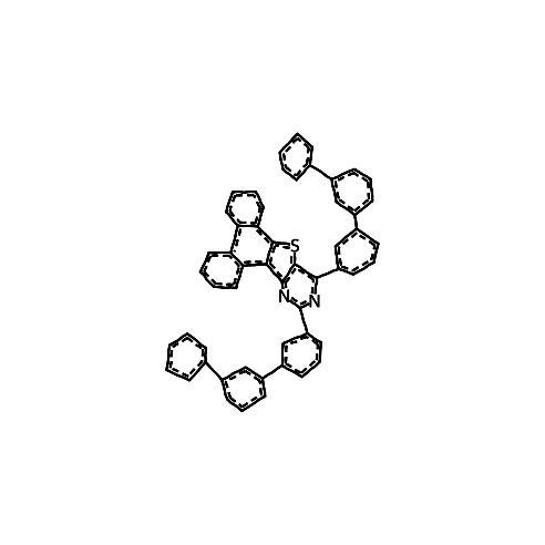 c1ccc(-c2cccc(-c3cccc(-c4nc(-c5cccc(-c6cccc(-c7ccccc7)c6)c5)c5sc6c7ccccc7c7ccccc7c6c5n4)c3)c2)cc1